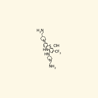 Cl.NCCC1CCN(c2ccc3c(c2)Sc2cc(C(F)(F)F)cc(NC4CCN(CCN)CC4)c2N3)CC1